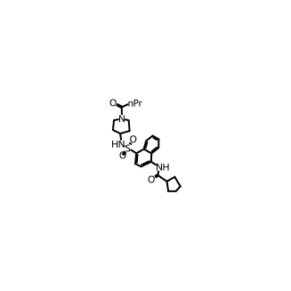 CCCC(=O)N1CCC(NS(=O)(=O)c2ccc(NC(=O)C3CCCC3)c3ccccc23)CC1